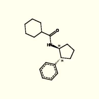 O=C(N[C@H]1CCC[C@@H]1c1ccccc1)C1CCCCC1